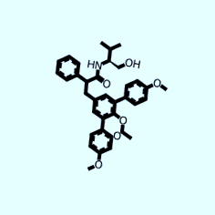 COc1ccc(-c2cc(CC(C(=O)N[C@H](CO)C(C)C)c3ccccc3)cc(-c3ccc(OC)cc3)c2OC(C)=O)cc1